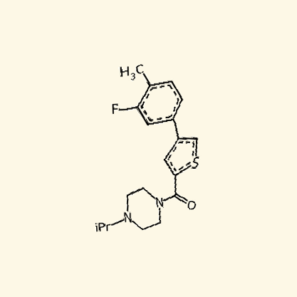 Cc1ccc(-c2csc(C(=O)N3CCN(C(C)C)CC3)c2)cc1F